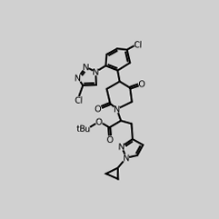 CC(C)(C)OC(=O)C(Cc1ccn(C2CC2)n1)N1CC(=O)C(c2cc(Cl)ccc2-n2cc(Cl)nn2)CC1=O